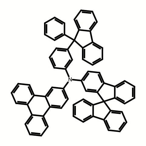 c1ccc(C2(c3cccc(N(c4ccc5c(c4)C4(c6ccccc6-c6ccccc64)c4ccccc4-5)c4ccc5c6ccccc6c6ccccc6c5c4)c3)c3ccccc3-c3ccccc32)cc1